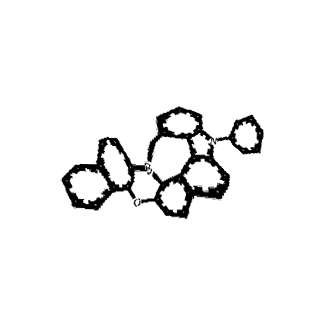 c1ccc(-n2c3cccc4c3c3c5c6c(ccc5ccc32)Oc2c(ccc3ccccc23)B64)cc1